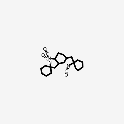 O=C=NC1CCC(CC2(N=C=O)CCCCC2)CC1CC1(N=C=O)CCCCC1